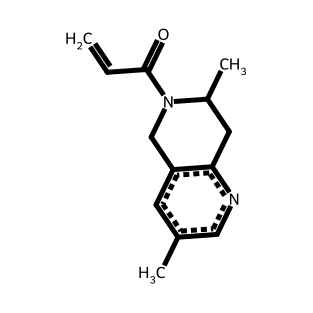 C=CC(=O)N1Cc2cc(C)cnc2CC1C